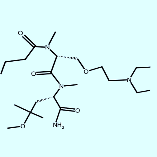 CCCC(=O)N(C)[C@H](COCCN(CC)CC)C(=O)N(C)[C@@H](CC(C)(C)OC)C(N)=O